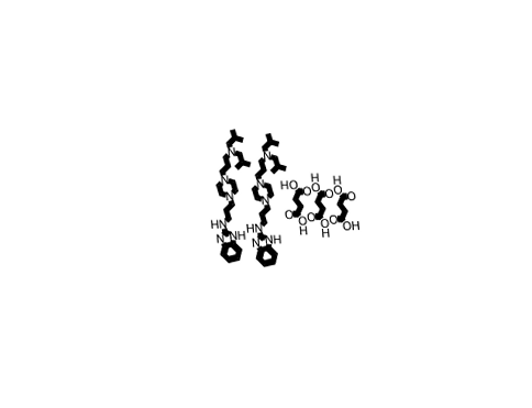 CC(C)CN(CCCN1CCN(CCCNc2nc3ccccc3[nH]2)CC1)CC(C)C.CC(C)CN(CCCN1CCN(CCCNc2nc3ccccc3[nH]2)CC1)CC(C)C.O=C(O)CCC(=O)O.O=C(O)CCC(=O)O.O=C(O)CCC(=O)O